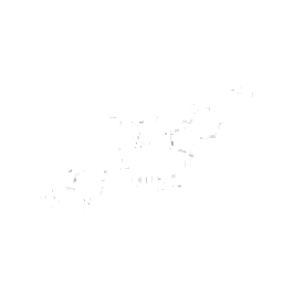 COc1ccc2[nH]cc(C[C@H](C)NC[C@H](O)c3ccc(N)nc3)c2c1.Cl.Cl